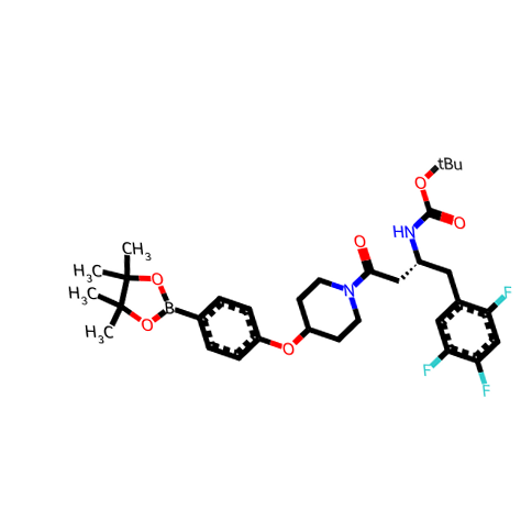 CC(C)(C)OC(=O)N[C@@H](CC(=O)N1CCC(Oc2ccc(B3OC(C)(C)C(C)(C)O3)cc2)CC1)Cc1cc(F)c(F)cc1F